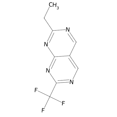 CCc1ncc2cnc(C(F)(F)F)nc2n1